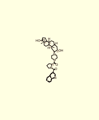 C[C@]12C[C@H](N3CCN(C(=O)[C@@H]4CCCN4C(=O)c4cnc5ccccc5c4)CC3)[C@@H](O)C[C@@H]1CC[C@@H]1[C@@H]2CC[C@]2(C)[C@@H](O)CC[C@@H]12